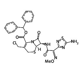 CO/N=C(\C(=O)N[C@@H]1C(=O)N2C(C(=O)OC(c3ccccc3)c3ccccc3)=C(CCl)CS[C@H]12)c1nsc(N)n1